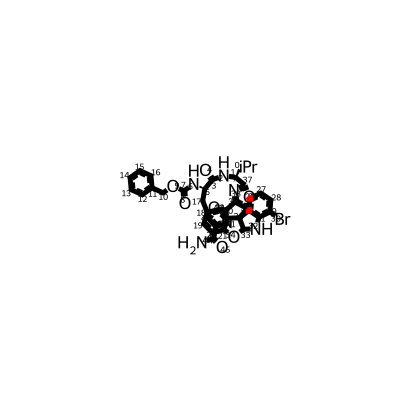 CC(C)[C@@H]1NC(=O)[C@@H](NC(=O)OCc2ccccc2)Cc2ccc3c(c2)C2(c4cccc(Br)c4NC2O3)c2oc1nc2-c1nc(C(N)=O)co1